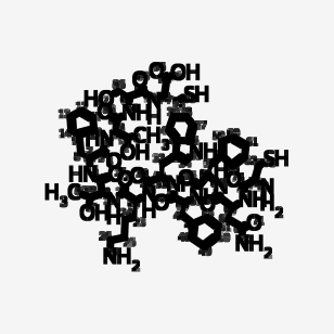 CC(O)[C@H](NC(=O)[C@H](Cc1ccccc1)NC(=O)[C@@H](NC(=O)[C@H](CCCCN)NC(=O)[C@@H](Cc1c[nH]c2ccccc12)NC(=O)[C@H](Cc1ccccc1)NC(=O)[C@H](Cc1ccccc1)NC(=O)[C@H](CC(N)=O)NC(=O)[C@@H](N)CS)C(C)O)C(=O)N[C@@H](CO)C(=O)N[C@@H](CS)C(=O)O